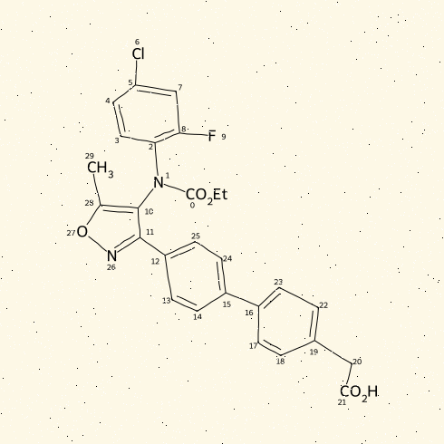 CCOC(=O)N(c1ccc(Cl)cc1F)c1c(-c2ccc(-c3ccc(CC(=O)O)cc3)cc2)noc1C